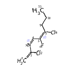 C=C(Cl)/N=C\C(F)=C(\Cl)CCC